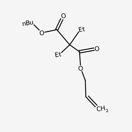 C=CCOC(=O)C(CC)(CC)C(=O)OCCCC